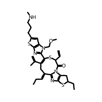 C=CC1S/C(c2nc3sc(CCCNC)cc3n2COC)=C(/C(=C)C)C/C(=C\CC)c2nc3c(n2C1=O)CC(CC)S3